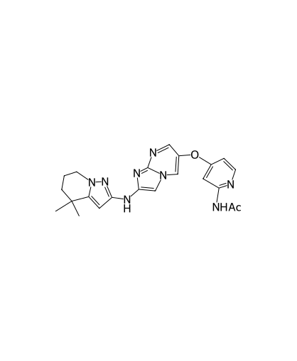 CC(=O)Nc1cc(Oc2cnc3nc(Nc4cc5n(n4)CCCC5(C)C)cn3c2)ccn1